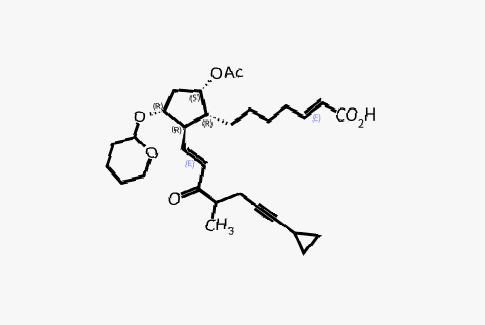 CC(=O)O[C@H]1C[C@@H](OC2CCCCO2)[C@H](/C=C/C(=O)C(C)CC#CC2CC2)[C@H]1CCCC/C=C/C(=O)O